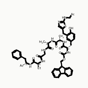 CC[C@H](NC(=O)CNC(=O)[C@H](C)NC(=O)[C@H](C)NC(=O)[C@H](Cc1ccc(O)c(Cc2cnc(NCC(C)=O)s2)c1)NC(=O)OCC1c2ccccc2-c2ccccc21)C(=O)N[C@@H](Cc1ccccc1)C(C)=O